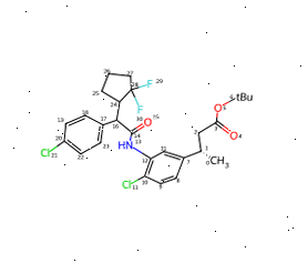 C[C@@H](CC(=O)OC(C)(C)C)c1ccc(Cl)c(NC(=O)C(c2ccc(Cl)cc2)C2CCCC2(F)F)c1